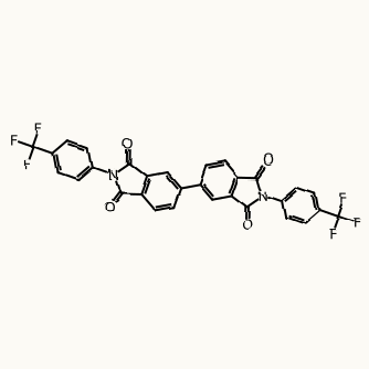 O=C1c2ccc(-c3ccc4c(c3)C(=O)N(c3ccc(C(F)(F)F)cc3)C4=O)cc2C(=O)N1c1ccc(C(F)(F)F)cc1